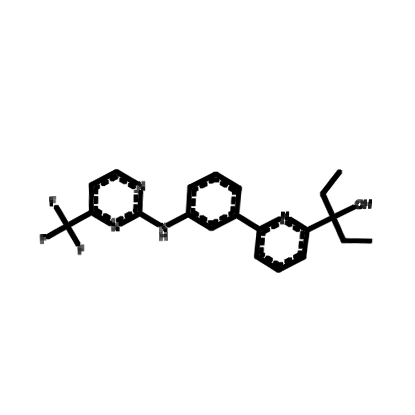 CCC(O)(CC)c1cccc(-c2cccc(Nc3nccc(C(F)(F)F)n3)c2)n1